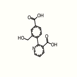 O=C(O)c1ccc(-c2ncccc2C(=O)O)c(CO)c1